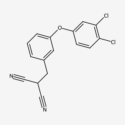 N#CC(C#N)Cc1cccc(Oc2ccc(Cl)c(Cl)c2)c1